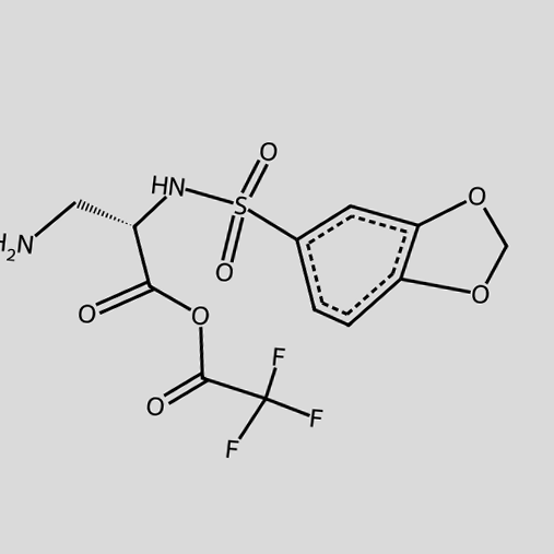 NC[C@H](NS(=O)(=O)c1ccc2c(c1)OCO2)C(=O)OC(=O)C(F)(F)F